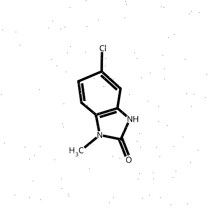 Cn1c(=O)[nH]c2cc(Cl)ccc21